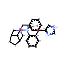 O=C(O)N(CC1C2CCC1CN(Cc1ccccc1)C2)c1ccccc1Cc1c[nH]cn1